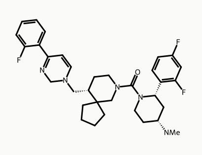 CN[C@@H]1CCN(C(=O)N2CC[C@@H](CN3C=CC(c4ccccc4F)=NC3)C3(CCCC3)C2)[C@H](c2ccc(F)cc2F)C1